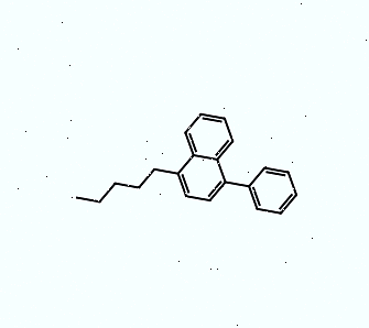 [CH2]CCCCc1ccc(-c2ccccc2)c2ccccc12